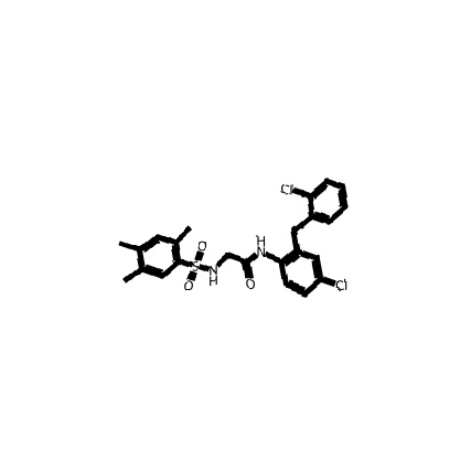 Cc1cc(C)c(S(=O)(=O)NCC(=O)Nc2ccc(Cl)cc2Cc2ccccc2Cl)cc1C